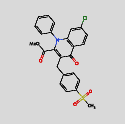 COC(=O)c1c(Cc2ccc(S(C)(=O)=O)cc2)c(=O)c2ccc(Cl)cc2n1-c1ccccc1